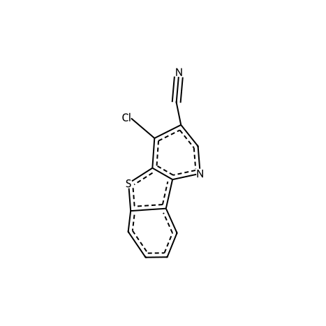 N#Cc1cnc2c(sc3ccccc32)c1Cl